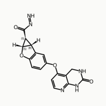 N=NC(=O)[C@@H]1[C@H]2Oc3ccc(Oc4ccnc5c4CNC(=O)N5)cc3[C@H]21